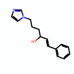 OC(C=Cc1ccccc1)CCCn1ccnc1